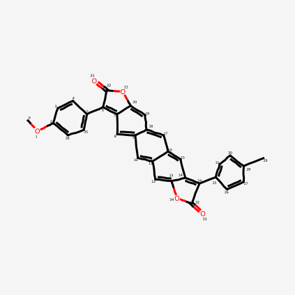 COc1ccc(C2=c3cc4cc5cc6c(cc5cc4cc3OC2=O)=C(c2ccc(C)cc2)C(=O)O6)cc1